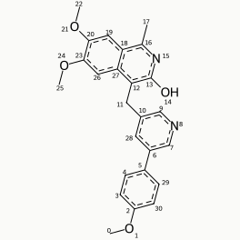 COc1ccc(-c2cncc(Cc3c(O)nc(C)c4cc(OC)c(OC)cc34)c2)cc1